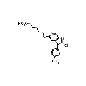 Cc1ccc(-n2c(Cl)nc3ccc(OCCCCCC(=O)O)cc32)cc1